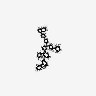 C1=Cc2c(c3ccccc3n2-c2ccc3oc4ccccc4c3c2)C(c2cccc(N(c3ccc(-c4ccccc4)cc3)c3ccc(-c4ccc(-c5cccc6ccccc56)cc4)cc3)c2)C1